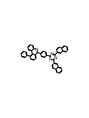 c1ccc(-c2cccc3c(-c4ccc(-c5nc(-c6ccc7ccccc7c6)nc(-c6ccc7ccccc7c6)n5)cc4)nc4ccccc4c23)cc1